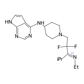 CC/N=C(\C(C)C)C(F)(F)CN1CCC(Nc2ncnc3[nH]ccc23)CC1